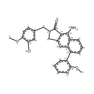 COc1ccc(CN2Cc3nc4c(-c5cccnc5OC)cccc4c(N)c3C2=O)cc1Cl